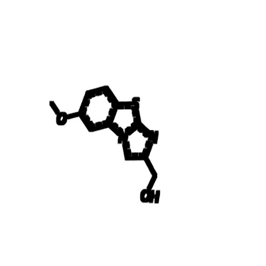 COc1ccc2sc3nc(CO)cn3c2c1